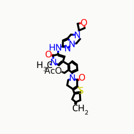 C=C1Cc2sc3c(c2C1)CCN(c1cccc(-c2cc(Nc4cc5n(n4)CCN(C4COC4)C5)c(=O)n(C)c2)c1COC(C)=O)C3=O